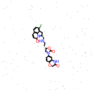 O=C1COc2ccc(N3C[C@H](CCNC[C@@H]4Cc5c(F)ccc6ccc(=O)n4c56)OC3=O)cc2N1